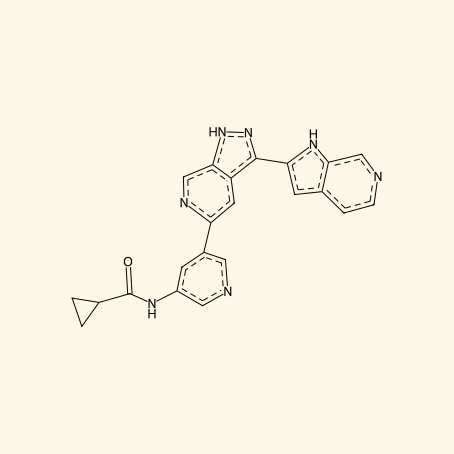 O=C(Nc1cncc(-c2cc3c(-c4cc5ccncc5[nH]4)n[nH]c3cn2)c1)C1CC1